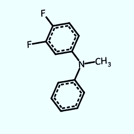 CN(c1ccccc1)c1ccc(F)c(F)c1